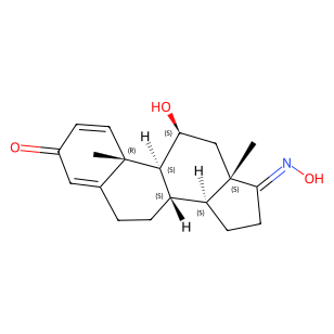 C[C@]12C=CC(=O)C=C1CC[C@@H]1[C@@H]2[C@@H](O)C[C@]2(C)C(=NO)CC[C@@H]12